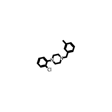 Cc1cccc(CN2CCN(c3ccccc3Cl)CC2)c1